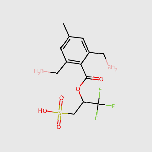 BCc1cc(C)cc(CB)c1C(=O)OC(CS(=O)(=O)O)C(F)(F)F